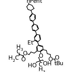 C=C(C)C(=O)OCCCc1cc(-c2ccc(-c3ccc(-c4ccc(C5CCC(CCCCC)CC5)cc4)cc3)cc2CC)cc(CCCOC(=O)C(C)(C)C)c1OCC(C)(CO)CO